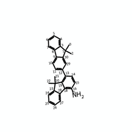 CC1(C)c2ccccc2-c2ccc(-c3ccc(N)c4c3C(C)(C)c3ccccc3-4)cc21